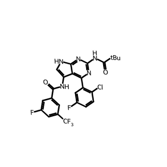 CC(C)(C)C(=O)Nc1nc(-c2cc(F)ccc2Cl)c2c(NC(=O)c3cc(F)cc(C(F)(F)F)c3)c[nH]c2n1